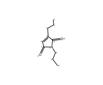 CCCC1=CC(=O)N(CCC)C1=O